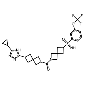 N=S(=O)(c1cccc(OC(F)(F)F)c1)C1CC2(C1)CN(C(=O)N1CC3(CC(c4nnc(C5CC5)[nH]4)C3)C1)C2